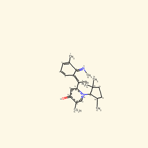 CCC(C)/C(=C1/C=CC=C(C)/C1=N/C)c1cc(=O)c(C(=O)O)cn1C1C(C)CCC1(C)C